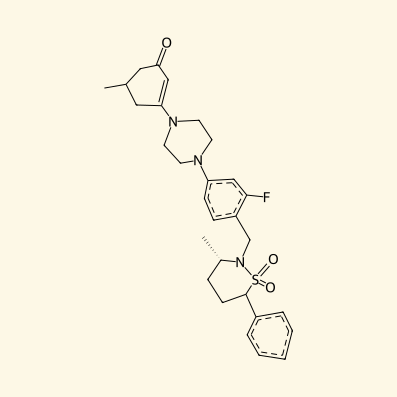 CC1CC(=O)C=C(N2CCN(c3ccc(CN4[C@@H](C)CCC(c5ccccc5)S4(=O)=O)c(F)c3)CC2)C1